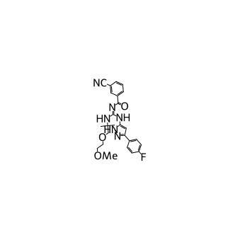 COCCOCC(C)(C)N/C(=N/C(=O)c1cccc(C#N)c1)Nc1cc(-c2ccc(F)cc2)n[nH]1